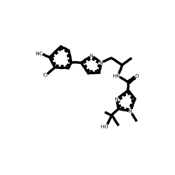 CC(Cn1ccc(-c2ccc(C#N)c(Cl)c2)n1)NC(=O)c1cn(C)c(C(C)(C)O)n1